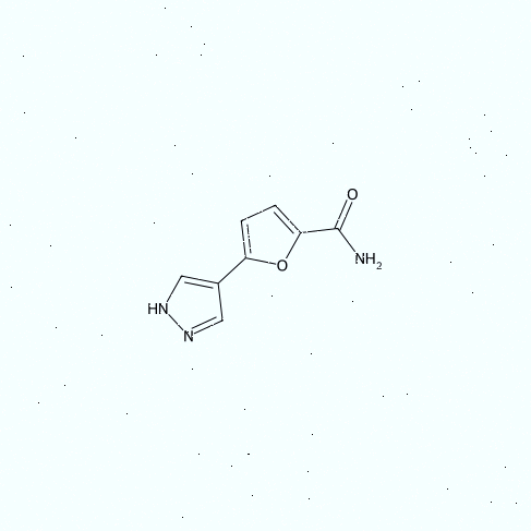 NC(=O)c1ccc(-c2cn[nH]c2)o1